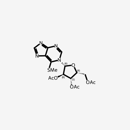 CSc1c2ncnc-2ncn1[C@@H]1O[C@H](COC(C)=O)[C@H](OC(C)=O)[C@H]1OC(C)=O